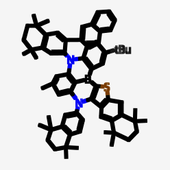 Cc1cc2c3c(c1)N(c1ccc4c(c1)C(C)(C)CCC4(C)C)c1c(sc4cc5c(cc14)C(C)(C)CCC5(C)C)B3c1cc(C(C)(C)C)ccc1N2c1cc2c(cc1-c1ccc3ccccc3c1)C(C)(C)CCC2(C)C